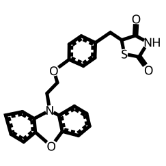 O=C1NC(=O)C(Cc2ccc(OCCN3c4ccccc4Oc4ccccc43)cc2)S1